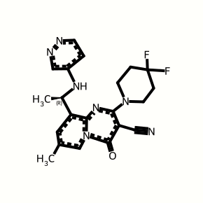 Cc1cc([C@@H](C)Nc2ccnnc2)c2nc(N3CCC(F)(F)CC3)c(C#N)c(=O)n2c1